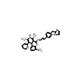 CC1=C(C(=O)OCC=Cc2ccc(Cc3ncc[nH]3)cc2)C(c2cccc([N+](=O)[O-])c2)C(c2ccccn2)=C(C)N1